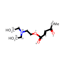 COC(=O)C=CC(=O)OCCN(CC(=O)O)CC(=O)O